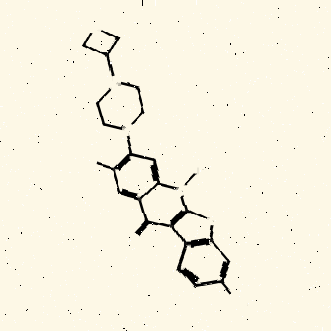 CCc1cc2c(=O)c3c4ccc(C)cc4[nH]c3n(C(C)C)c2cc1N1CCN(C2COC2)CC1